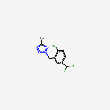 Cc1nnn(Cc2cc(C(F)F)ccc2Br)n1